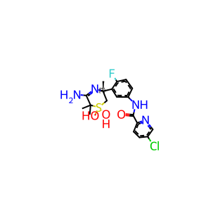 CC1(C)C(N)=N[C@](C)(c2cc(NC(=O)c3ccc(Cl)cn3)ccc2F)CS1(O)O